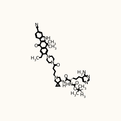 CCc1cc2c(cc1N1CCN(C(=O)CCCN3C[C@H](NC(=O)[C@H](CCCc4cncnc4N)NC(=O)OC(C)(C)C)C4(CC4)C3)CC1)C(C)(C)c1[nH]c3cc(C#N)ccc3c1C2=O